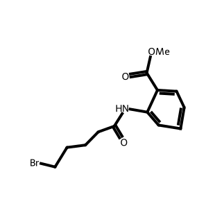 COC(=O)c1ccccc1NC(=O)CCCCBr